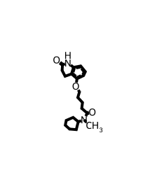 CN(C(=O)CCCCOc1cccc2c1CCC(=O)N2)C1CCCCC1